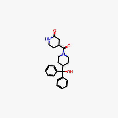 O=C1CC(C(=O)N2CCC(C(O)(c3ccccc3)c3ccccc3)CC2)CCN1